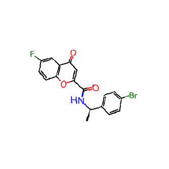 C[C@@H](NC(=O)c1cc(=O)c2cc(F)ccc2o1)c1ccc(Br)cc1